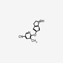 [C-]#[N+]c1cnc(Oc2ccc3c(c2)CCB3O)c(C)c1